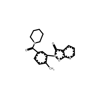 Cc1ccc(C(=O)N2CCCCC2)cc1-n1oc2ncccc2c1=O